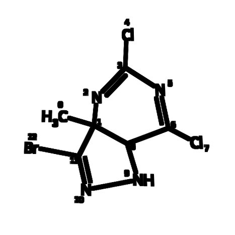 CC12N=C(Cl)N=C(Cl)C1NN=C2Br